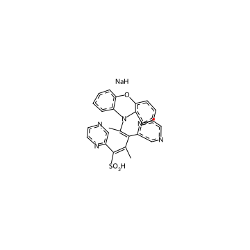 CC(C(=C(C)N1c2ccccc2Oc2ccccc21)c1cnccn1)=C(c1cnccn1)S(=O)(=O)O.[NaH]